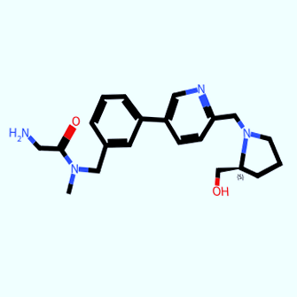 CN(Cc1cccc(-c2ccc(CN3CCC[C@H]3CO)nc2)c1)C(=O)CN